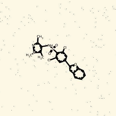 Cc1nn(C)c(C)c1NS(=O)(=O)c1c(Cl)cc(-c2cc3ccccc3o2)cc1Cl